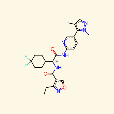 CCc1nocc1C(=O)N[C@H](C(=O)Nc1ccc(-c2c(C)cnn2C)cn1)C1CCC(F)(F)CC1